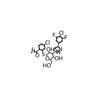 CN(C)C(=O)c1ccc(Cl)cc1S[C@H]1OC(CO)[C@H](O)C(n2cc(-c3cc(F)c(Cl)c(F)c3)nn2)C1O